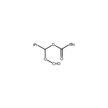 CC(C)C(OC=O)OC(=O)C(C)(C)C